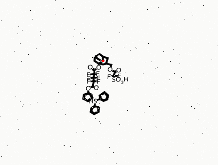 O=C(Oc1cccc([SH](c2ccccc2)c2ccccc2)c1)C(F)(F)C(F)(F)C(F)(F)C(=O)OC12CC3CC(CC(COC(=O)C(F)(F)S(=O)(=O)O)(C3)C1)C2